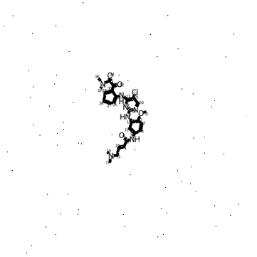 COc1ccc(NC(=O)/C=C/CN(C)C)cc1Nc1ncc(Cl)c(Nc2ccccc2C(=O)C(=O)N(C)C)n1